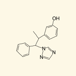 CC(c1cccc(O)c1)C(c1ccccc1)n1cncn1